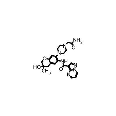 CC1(O)COc2cc(N3CCN(CC(N)=O)CC3)c(NC(=O)c3cnn4cccnc34)cc2C1